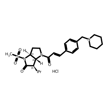 CC(C)[C@H]1C(=O)N(S(C)(=O)=O)[C@H]2CCN(C(=O)C=Cc3ccc(CN4CCCCC4)cc3)[C@H]12.Cl